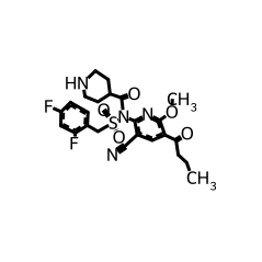 CCCC(=O)c1cc(C#N)c(N(C(=O)C2CCNCC2)S(=O)(=O)Cc2ccc(F)cc2F)nc1OC